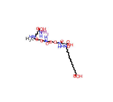 C=C(COCCOCCNC(=O)COCCOCCNC(=O)CC[C@H](NC(=O)CCCCCCCCCCCCCCCCCCC(=O)O)C(=O)O)NCCCC[C@H](NP)C(=O)O